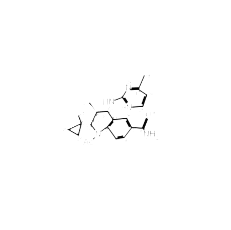 CC(=O)N1c2ccc(C(N)=O)cc2[C@@H](Nc2nccc(C)n2)[C@H](C)[C@H]1C1(C)CC1